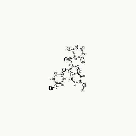 COc1ccc2c(Oc3ccc(Br)cc3)c(C(=O)c3c(C)cccc3C)sc2c1